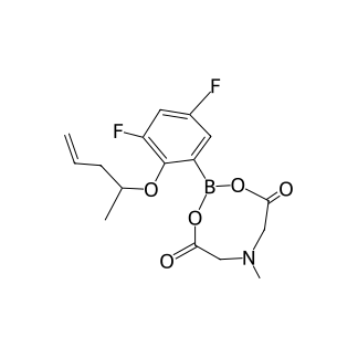 C=CCC(C)Oc1c(F)cc(F)cc1B1OC(=O)CN(C)CC(=O)O1